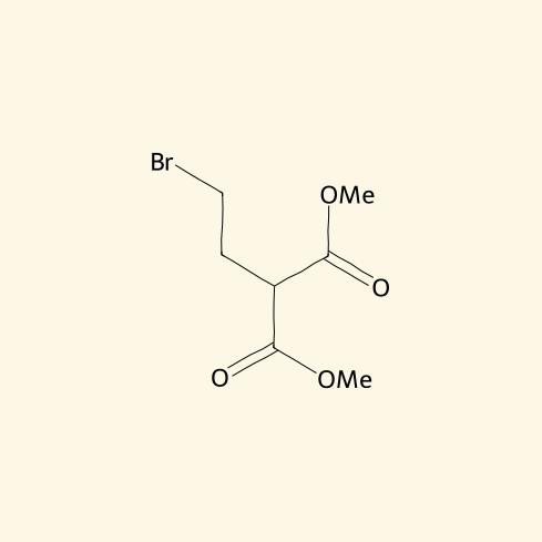 COC(=O)C(CCBr)C(=O)OC